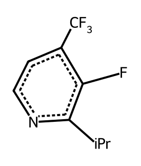 CC(C)c1nccc(C(F)(F)F)c1F